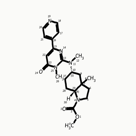 COC(=O)N1CCC2(C)C[C@@H](N(C)c3nc(-c4ccncc4)cc(=O)n3C)CC[C@@H]12